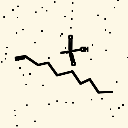 C=CCCCCCCCC.CS(=O)(=O)O